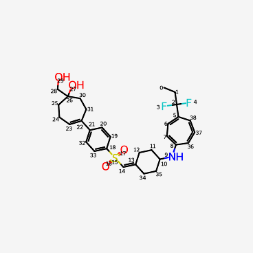 CCC(F)(F)C1=CC=C(NC2CCC(=CS(=O)(=O)c3ccc(C4=CCCC(O)(CO)CC4)cc3)CC2)C=C=C1